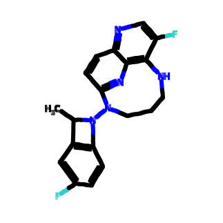 CC1c2cc(F)ccc2N1N1CCCNc2c(F)cnc3ccc1nc23